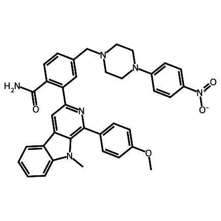 COc1ccc(-c2nc(-c3cc(CN4CCN(c5ccc([N+](=O)[O-])cc5)CC4)ccc3C(N)=O)cc3c4ccccc4n(C)c23)cc1